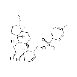 CC[C@H]1CC[C@H]2[C@@H]3CC(=O)[C@H]4CC=CC(COS(=O)(=O)c5ccc(C)cc5)[C@]4(C)[C@H]3CC[C@]12C